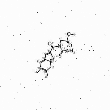 COC(=O)CN(C(=O)C1=CC2=CC(C)=C(C)CC2=N1)C(N)=S